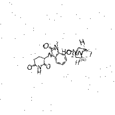 Cn1c(=O)n(C2CCC(=O)NC2=O)c2cccc(CN3C[C@H]4CC[C@@H](C3)N4C(=O)O)c21